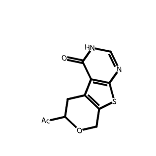 CC(=O)C1Cc2c(sc3nc[nH]c(=O)c23)CO1